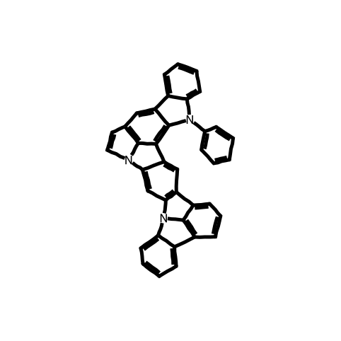 c1ccc(-n2c3ccccc3c3cc4ccn5c6cc7c(cc6c(c32)c45)c2cccc3c4ccccc4n7c32)cc1